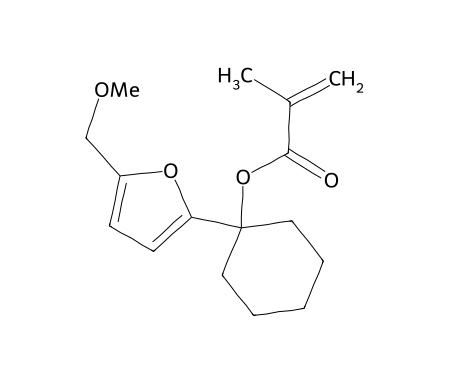 C=C(C)C(=O)OC1(c2ccc(COC)o2)CCCCC1